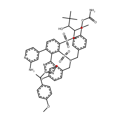 COc1ccc(CN(Cc2ccc(OC)cc2)S(=O)(=O)c2c(S(=O)(=O)NC(COC(N)=O)C(O)C(C)(C)C)ccc(-c3ccnc(N)c3)c2-c2nnn(Cc3ccc(OC)cc3)n2)cc1